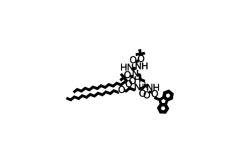 CCCCCCCCCCCCCCOCC(CNC(=O)[C@H](CCCN(C(=N)NC(=O)OC(C)(C)C)C(=O)OC(C)(C)C)NC(=O)OCC1c2ccccc2-c2ccccc21)OCCCCCCCCCCCCCC